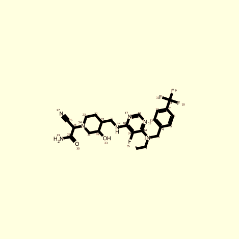 CCN(Cc1ccc(C(F)(F)F)cc1)c1ncnc(NCC2CCN(C(C#N)C(N)=O)CC2O)c1F